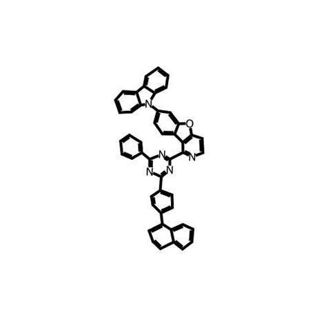 c1ccc(-c2nc(-c3ccc(-c4cccc5ccccc45)cc3)nc(-c3nccc4oc5cc(-n6c7ccccc7c7ccccc76)ccc5c34)n2)cc1